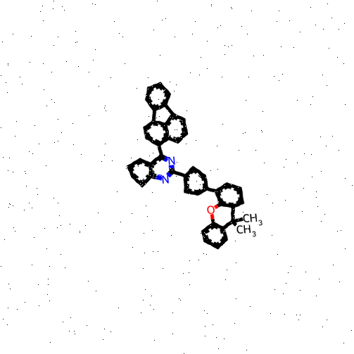 CC1(C)c2ccccc2Oc2c(-c3ccc(-c4nc(-c5ccc6c7c(cccc57)-c5ccccc5-6)c5ccccc5n4)cc3)cccc21